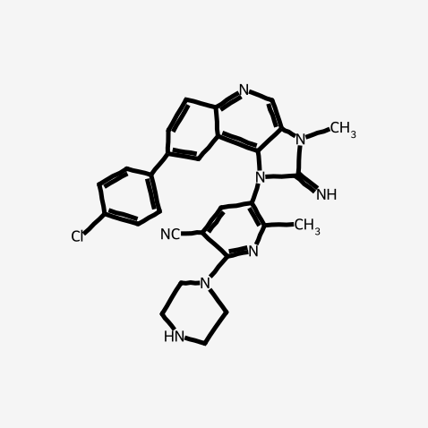 Cc1nc(N2CCNCC2)c(C#N)cc1-n1c(=N)n(C)c2cnc3ccc(-c4ccc(Cl)cc4)cc3c21